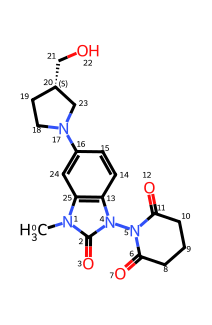 Cn1c(=O)n(N2C(=O)CCCC2=O)c2ccc(N3CC[C@H](CO)C3)cc21